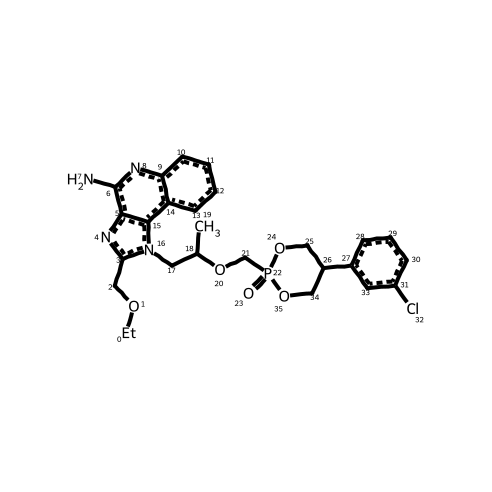 CCOCc1nc2c(N)nc3ccccc3c2n1CC(C)OCP1(=O)OCC(c2cccc(Cl)c2)CO1